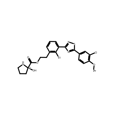 CCc1c(CCOC(=O)[C@]2(O)CCCN2)cccc1-c1nsc(-c2ccc(OC(C)C)c(Cl)c2)n1